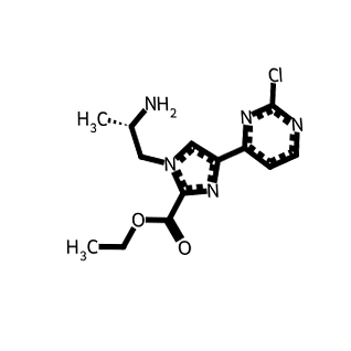 CCOC(=O)c1nc(-c2ccnc(Cl)n2)cn1C[C@H](C)N